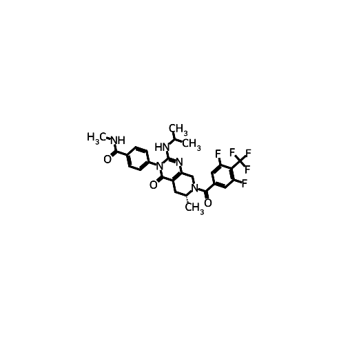 CNC(=O)c1ccc(-n2c(NC(C)C)nc3c(c2=O)C[C@@H](C)N(C(=O)c2cc(F)c(C(F)(F)F)c(F)c2)C3)cc1